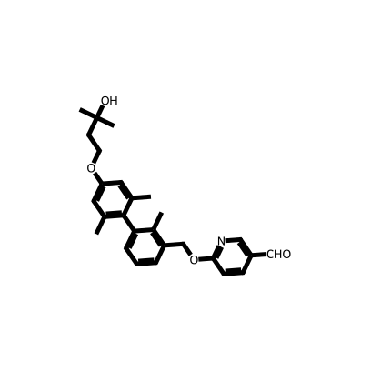 Cc1cc(OCCC(C)(C)O)cc(C)c1-c1cccc(COc2ccc(C=O)cn2)c1C